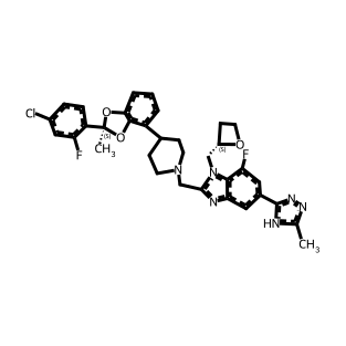 Cc1nnc(-c2cc(F)c3c(c2)nc(CN2CCC(c4cccc5c4O[C@@](C)(c4ccc(Cl)cc4F)O5)CC2)n3C[C@@H]2CCO2)[nH]1